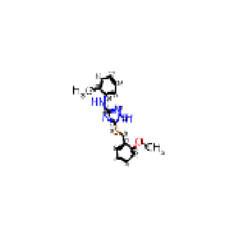 COc1ccccc1CSc1nc(Nc2ccccc2C)n[nH]1